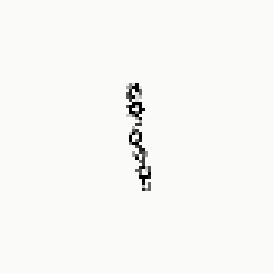 Fc1cc(-n2cnnn2)ccc1OC[C@H]1CC[C@H](N2CCN(c3ncc(Cl)cn3)CC2)CC1